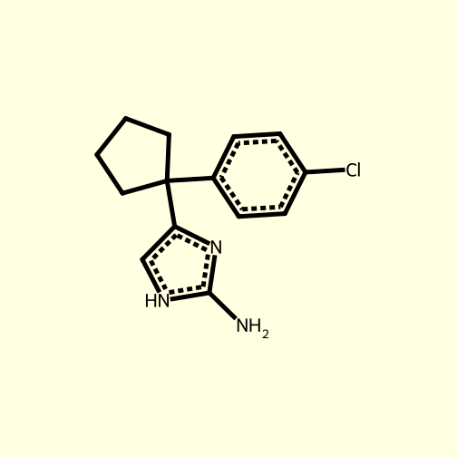 Nc1nc(C2(c3ccc(Cl)cc3)CCCC2)c[nH]1